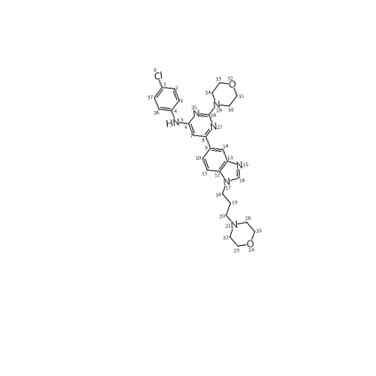 Clc1ccc(Nc2cc(-c3ccc4c(c3)ncn4CCCN3CCOCC3)nc(N3CCOCC3)n2)cc1